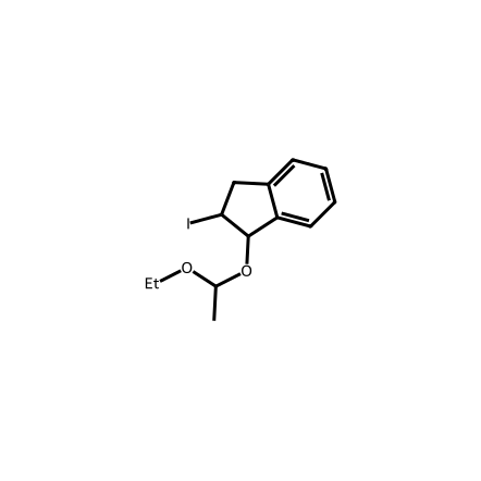 CCOC(C)OC1c2ccccc2CC1I